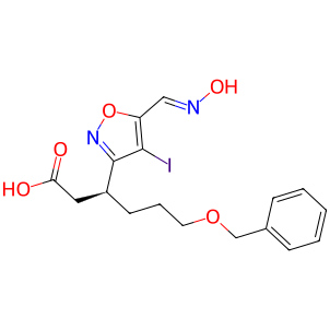 O=C(O)C[C@H](CCCOCc1ccccc1)c1noc(C=NO)c1I